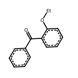 CCOc1ccccc1C(=O)c1[c]cccc1